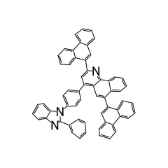 c1ccc(-c2nc3ccccc3n2-c2ccc(-c3cc(-c4cc5ccccc5c5ccccc45)nc4c3cc(-c3cc5ccccc5c5ccccc35)c3ccccc34)cc2)cc1